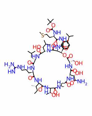 CC[C@H](C)C1NC(=O)[C@@H](CCCNC(=N)N)NC(=O)[C@H](CC(C)C)NC(=O)[C@H]([C@H](O)C(C)C)NC(=O)[C@@H](NC(=O)[C@H](CC(C)C)NC(=O)[C@@H](CCSC)NC(=O)OC(C)(C)C)[C@@H](c2ccccc2)OC(=O)[C@H](CO)NC(=O)[C@H]([C@H](O)C(N)=O)NC(=O)CNC(=O)C([C@H](C)O)NC1=O